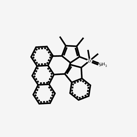 CC1=C(C)C(C)[C]([Zr]([CH3])([CH3])(=[SiH2])[CH]2C=C(c3c4ccccc4cc4ccccc34)c3ccccc32)=C1C